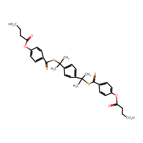 CC(C)(SC(=S)c1ccc(OC(=O)CCC(=O)O)cc1)c1ccc(C(C)(C)SC(=S)c2ccc(OC(=O)CCC(=O)O)cc2)cc1